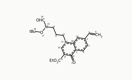 C=Cc1ccc2c(=O)c(C(=O)OCC)cn(CCCN(C=O)OC(C)(C)C)c2c1